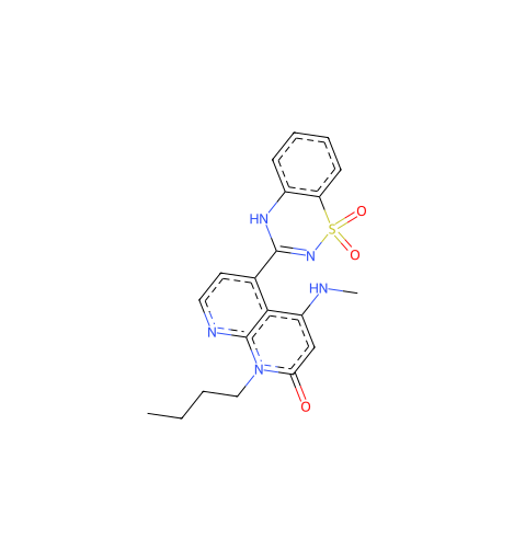 CCCCn1c(=O)cc(NC)c2c(C3=NS(=O)(=O)c4ccccc4N3)ccnc21